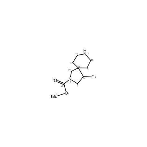 CC(C)(C)OC(=O)N1CC(F)C2(CCNCC2)C1